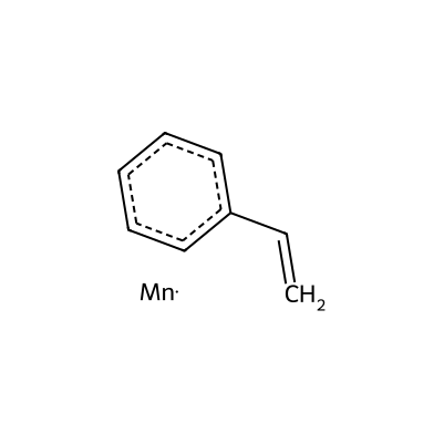 C=Cc1ccccc1.[Mn]